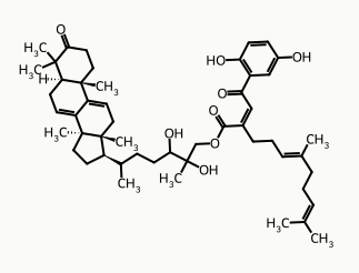 CC(C)=CCC/C(C)=C/CC/C(=C/C(=O)c1cc(O)ccc1O)C(=O)OCC(C)(O)C(O)CCC(C)[C@H]1CC[C@@]2(C)C3=CC[C@H]4C(C)(C)C(=O)CC[C@]4(C)C3=CC[C@]12C